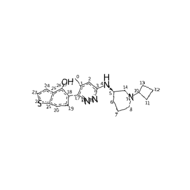 Cc1cc(N[C@@H]2CCCN(C3CCC3)C2)nnc1-c1ccc2sccc2c1O